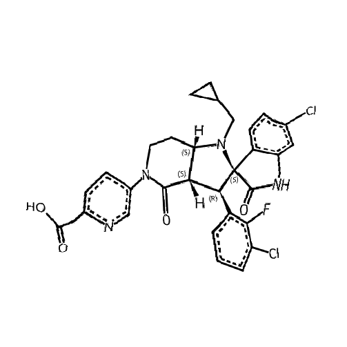 O=C(O)c1ccc(N2CC[C@H]3[C@@H](C2=O)[C@H](c2cccc(Cl)c2F)[C@]2(C(=O)Nc4cc(Cl)ccc42)N3CC2CC2)cn1